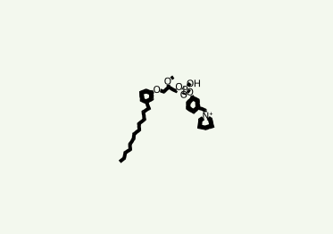 CCCCCCCCCCCCc1cccc(OCC(COP(=O)(O)Oc2cccc(C[n+]3ccccc3)c2)OC)c1